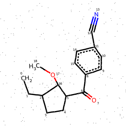 [CH2]CC1C[CH]C(C(=O)c2ccc(C#N)cc2)C1OC